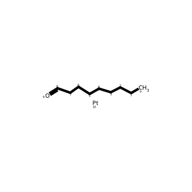 CCCCCCCCC=O.[Pt]